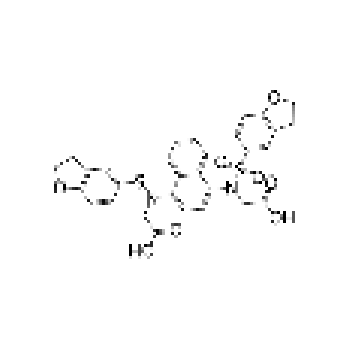 O=C(O)CN(Sc1ccc2c(c1)CCO2)c1ccc(N(CC(=O)O)S(=O)(=O)c2ccc3c(c2)CCO3)c2ccccc12